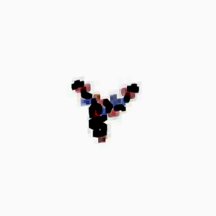 COc1ccc2cc(Br)ccc2c1CN1C(=O)[C@@H](NC(=O)[C@H](C)NCC(=O)OC(C)(C)C)COc2c(C(=O)NCCC(=O)OC(C)(C)C)cccc21